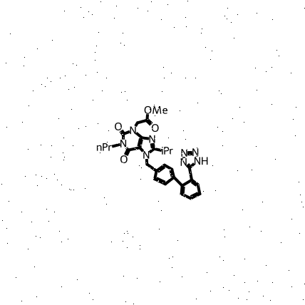 CCCn1c(=O)c2c(nc(C(C)C)n2Cc2ccc(-c3ccccc3-c3nnn[nH]3)cc2)n(CC(=O)OC)c1=O